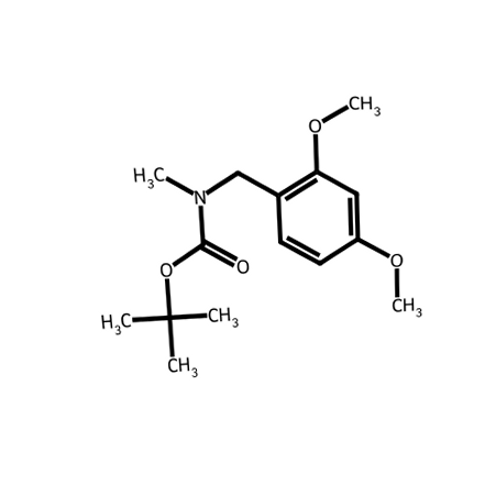 COc1ccc(CN(C)C(=O)OC(C)(C)C)c(OC)c1